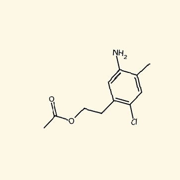 CC(=O)OCCc1cc(N)c(C)cc1Cl